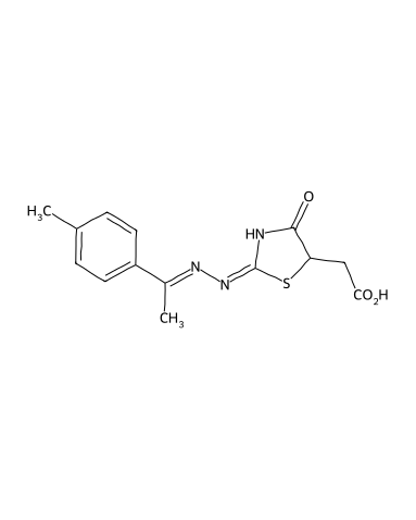 CC(=NN=C1NC(=O)C(CC(=O)O)S1)c1ccc(C)cc1